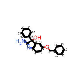 NC1=Nc2ccc(OCc3ccccc3)cc2C1(O)c1ccccc1